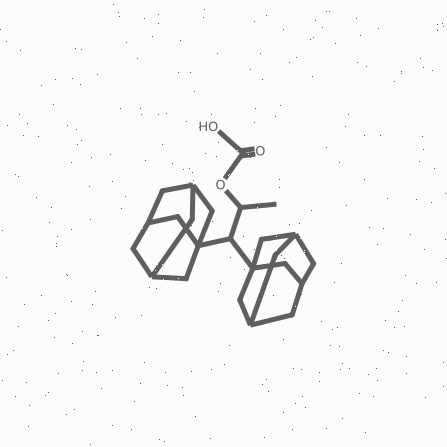 CC(OC(=O)O)C(C12CC3CC(CC(C3)C1)C2)C12CC3CC(CC(C3)C1)C2